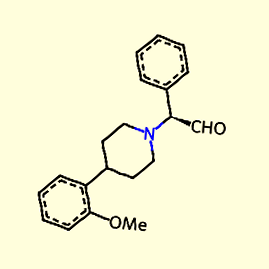 COc1ccccc1C1CCN([C@H](C=O)c2ccccc2)CC1